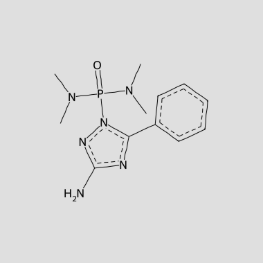 CN(C)P(=O)(N(C)C)n1nc(N)nc1-c1ccccc1